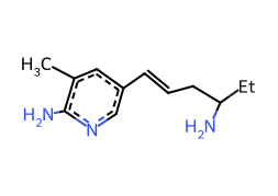 CCC(N)C/C=C/c1cnc(N)c(C)c1